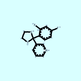 Fc1ccc(C2(c3cccnc3)SCCS2)c(F)c1